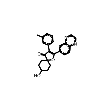 Cc1cccc(C2=C(c3ccc4nccnc4c3)OC3(CCC(O)CC3)C2=O)c1